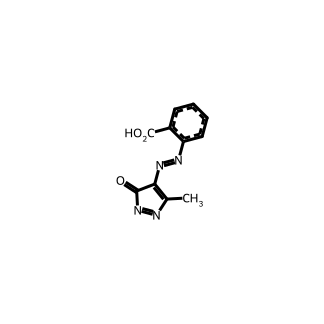 CC1=C(N=Nc2ccccc2C(=O)O)C(=O)N=N1